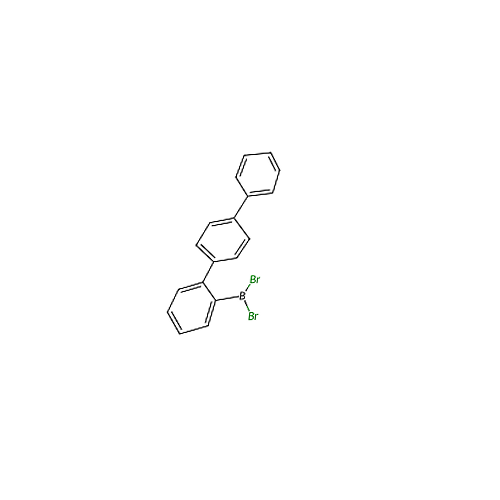 BrB(Br)c1ccccc1-c1ccc(-c2ccccc2)cc1